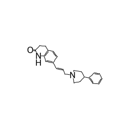 O=C1CCc2ccc(/C=C/CN3CCC(c4ccccc4)CC3)cc2N1